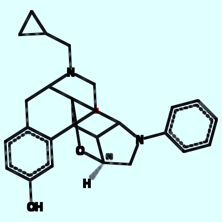 Oc1ccc2c(c1)C13CCN(CC4CC4)C(C2)C12CCC1C3[C@@H](CN1c1ccccc1)O2